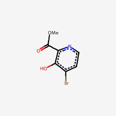 COC(=O)c1nccc(Br)c1O